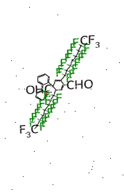 O=CC1=CC(C(F)(F)C(F)(F)C(F)(F)C(F)(F)C(F)(F)C(F)(F)C(F)(F)C(F)(F)F)C(C=O)(c2ccccc2-c2ccccc2)C=C1C(F)(F)C(F)(F)C(F)(F)C(F)(F)C(F)(F)C(F)(F)C(F)(F)C(F)(F)F